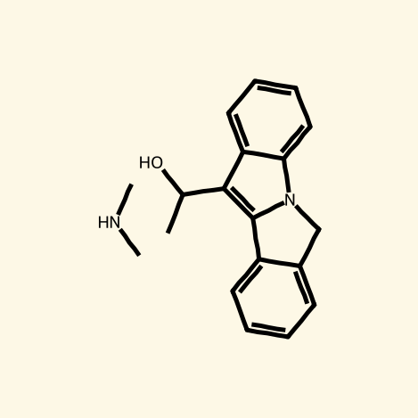 CC(O)c1c2n(c3ccccc13)Cc1ccccc1-2.CNC